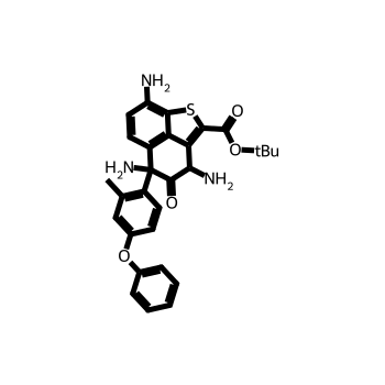 Cc1cc(Oc2ccccc2)ccc1C1(N)C(=O)C(N)c2c(C(=O)OC(C)(C)C)sc3c(N)ccc1c23